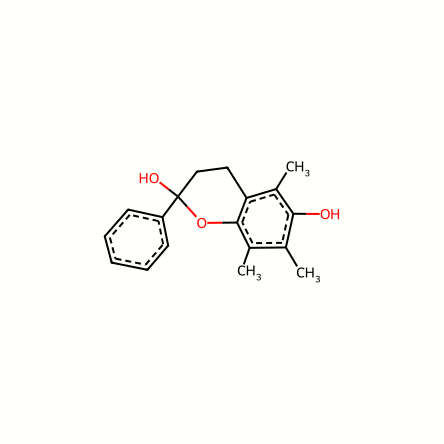 Cc1c(C)c2c(c(C)c1O)CCC(O)(c1ccccc1)O2